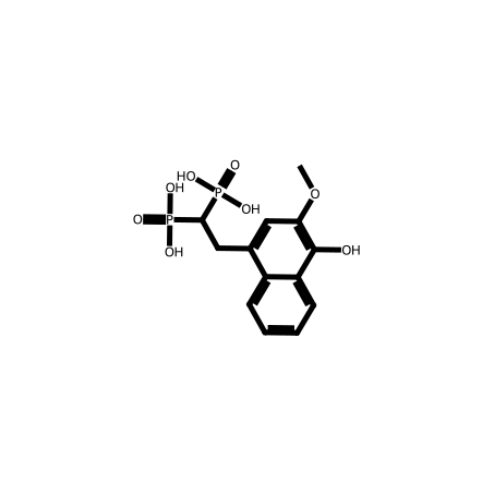 COc1cc(CC(P(=O)(O)O)P(=O)(O)O)c2ccccc2c1O